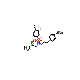 C=C(Br)CN(CC=Cc1ccc(C(C)(C)C)cc1)S(=O)(=O)c1ccc(C)cc1